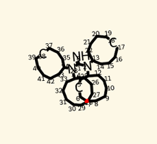 N=C(N(C1CCCCCCCCC1)C1CCCCCCCCC1)N(C1CCCCCCCCC1)C1CCCCCCCCC1